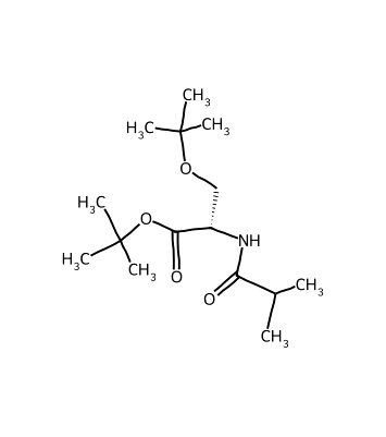 CC(C)C(=O)N[C@@H](COC(C)(C)C)C(=O)OC(C)(C)C